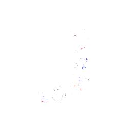 O=C(OCc1ccc([N+](=O)[O-])cc1)N1CCn2nc(COC3CCCCO3)cc2C1